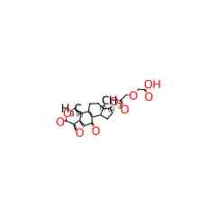 C[C@]12CCC3=C(C(=O)c4occ5c4[C@]3(C)COC5=O)C1CC[C@@H]2OC(=O)COCC(=O)O